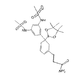 CC1(C)OB(C2(c3cc(NS(C)(=O)=O)cc(NS(C)(=O)=O)c3)C=CC=C(CCC(N)=O)C2)OC1(C)C